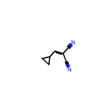 N#CC(C#N)=CC1CC1